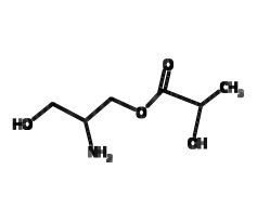 CC(O)C(=O)OCC(N)CO